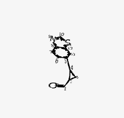 O=CC1CC1c1ccc2ncsc2c1